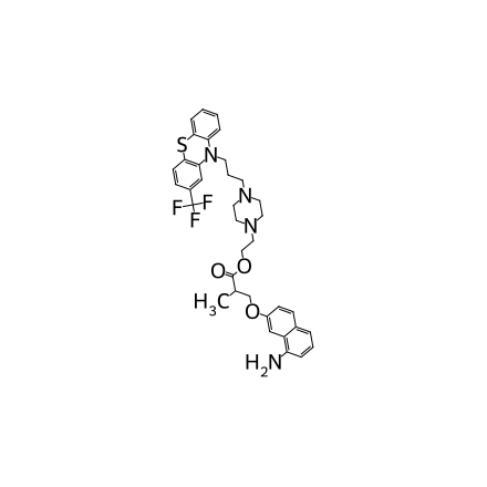 CC(COc1ccc2cccc(N)c2c1)C(=O)OCCN1CCN(CCCN2c3ccccc3Sc3ccc(C(F)(F)F)cc32)CC1